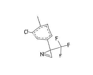 Cc1ccc(C2(C(F)(F)F)C=N2)cc1Cl